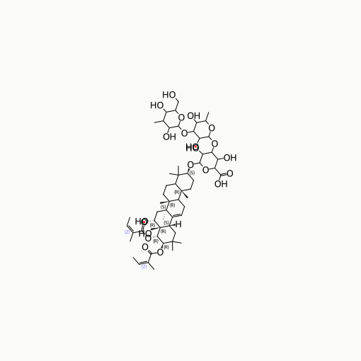 C/C=C(/C)C(=O)O[C@H]1[C@H](OC(=O)/C(C)=C\C)[C@]2(CO)[C@H](O)C[C@]3(C)C(=CCC4[C@@]5(C)CC[C@H](OC6OC(C(=O)O)C(O)C(OC7OC(C)C(O)C(OC8OC(CO)C(O)C(C)C8O)C7O)C6O)C(C)(C)C5CC[C@]43C)[C@@H]2CC1(C)C